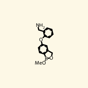 COB1OCc2cc(Oc3ccccc3CN)ccc21